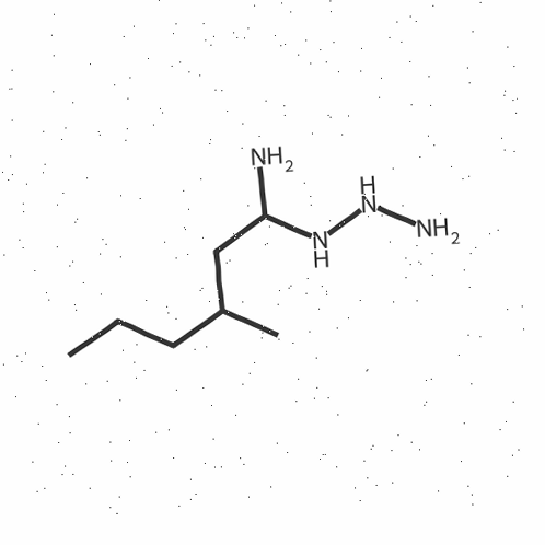 CCCC(C)CC(N)NNN